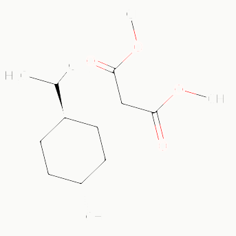 COC(=O)C(C(=O)OC)[C@@H]1C[C@H](C)CC[C@H]1C(C)C